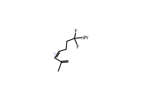 C=C(C)/C=C\CCC(F)(F)CCC